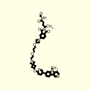 CC(CCC(=O)NC=O)N1C(=O)c2ccc(N3CC(OCCCOCCN4CC5(CC(Oc6ccc(-c7ccc8c9cnccc9n(C)c8c7)cn6)C5)C4)C3)cc2C1=O